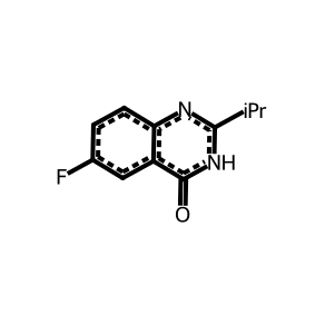 CC(C)c1nc2ccc(F)cc2c(=O)[nH]1